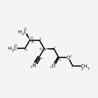 CCOC(=O)C[C@@H](C#N)C[C@H](C)CC